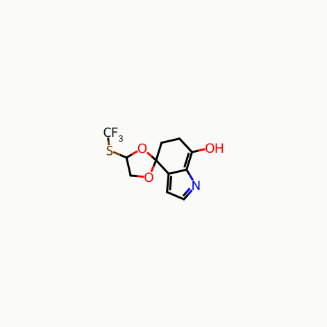 OC1=C2N=CC=C2C2(CC1)OCC(SC(F)(F)F)O2